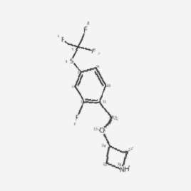 Fc1cc(SC(F)(F)F)ccc1COC1CNC1